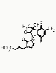 CC1(C)C(=O)N([C@H]2CCN(CCCC(=O)O)C2=O)c2c(F)cc(C(F)(F)F)c(F)c21